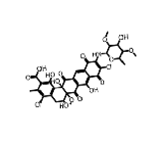 COC1C(C)OC(NC2=C(Cl)C(=O)c3c(cc4c(c3O)C(=O)C3(OC)C(O)Cc5c(Cl)c(C)c(C(=O)O)c(O)c5C3(O)C4=O)C2=O)C(OC)C1O